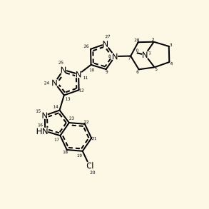 CN1C2CCC1CC(n1cc(-n3cc(-c4n[nH]c5cc(Cl)ccc45)nn3)cn1)C2